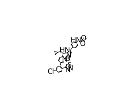 COC(=O)Nc1ccc(-c2cnc(C(CC3CC3)c3ccc(-c4cc(Cl)ccc4-c4csnn4)c[n+]3OC)[nH]2)cc1